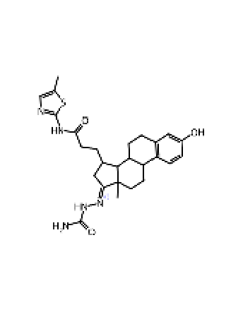 Cc1cnc(NC(=O)CCC2C/C(=N\NC(N)=O)C3(C)CCC4c5ccc(O)cc5CCC4C23)s1